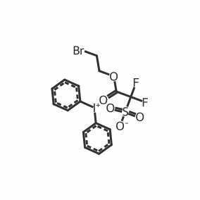 O=C(OCCBr)C(F)(F)S(=O)(=O)[O-].c1ccc([I+]c2ccccc2)cc1